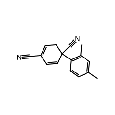 Cc1ccc(C2(C#N)C=CC(C#N)=CC2)c(C)c1